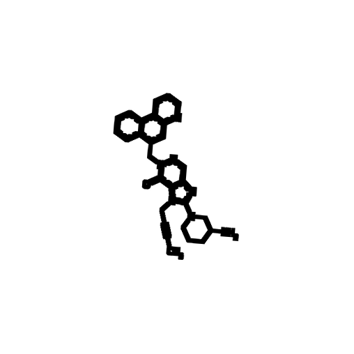 CC#CCn1c(N2CCCC(N)C2)nc2cnn(Cc3cc4ncccc4c4ccccc34)c(=O)c21